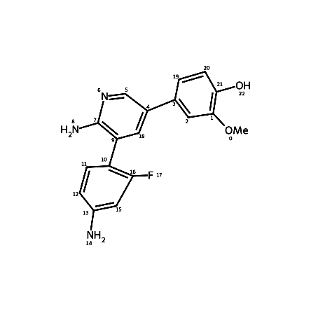 COc1cc(-c2cnc(N)c(-c3ccc(N)cc3F)c2)ccc1O